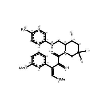 CN/C=C(\C(=N)C(=O)N1CC(F)(F)C[C@@H](C)C1CNc1cnc(C(F)(F)F)cn1)c1cccc(OC)n1